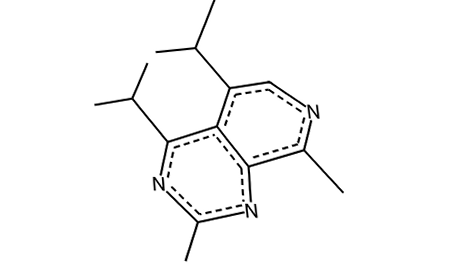 Cc1nc(C(C)C)c2c(C(C)C)cnc(C)c2n1